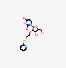 O=c1ccn(C2OC(CO)[C@@H](O)[C@H]2OCCSSc2ccccn2)c(=O)[nH]1